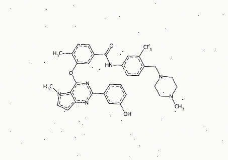 Cc1ccc(C(=O)Nc2ccc(CN3CCN(C)CC3)c(C(F)(F)F)c2)cc1Oc1nc(-c2cccc(O)c2)nc2ccn(C)c12